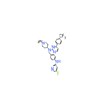 CC(C)N1CCC(N(Cc2ccc(Nc3cncc(F)c3)cc2)c2nccc(-c3ccc(C(F)(F)F)cc3)n2)CC1